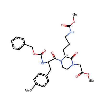 COc1ccc(CC(NC(=O)OCc2ccccc2)C(=O)N2CCN(CC(=O)OC(C)(C)C)C(=O)[C@@H]2CCCNC(=O)OC(C)(C)C)cc1